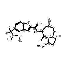 CCOP(O)C(F)(F)c1ccc2sc(C(=O)N[C@H]3CN(CC)CC[C@H]4CC[C@@H](C(=O)O)N4C3=O)cc2c1